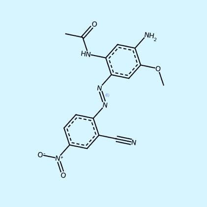 COc1cc(/N=N/c2ccc([N+](=O)[O-])cc2C#N)c(NC(C)=O)cc1N